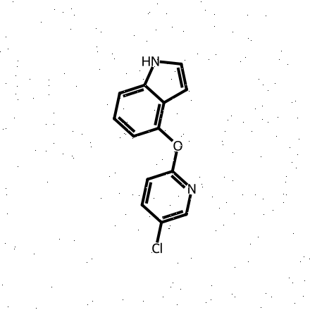 Clc1ccc(Oc2cccc3[nH]ccc23)nc1